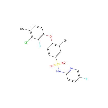 N#Cc1cc(S(=O)(=O)Nc2ccc(F)cn2)ccc1Oc1ccc(C#N)c(Cl)c1F